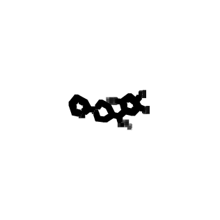 NC(c1cc(Cl)c(Cl)cc1O)C1CCN(c2ccccn2)CC1